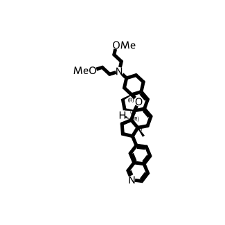 COCCN(CCOC)C1CCC2=CC3=CC[C@]4(C)C(c5ccc6ccncc6c5)CC[C@H]4[C@@]34CC[C@]2(C1)O4